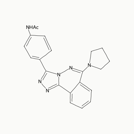 CC(=O)Nc1ccc(-c2nnc3c4ccccc4c(N4CCCC4)nn23)cc1